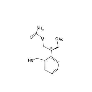 CC(=O)OC[C@H](COC(N)=O)c1ccccc1CS